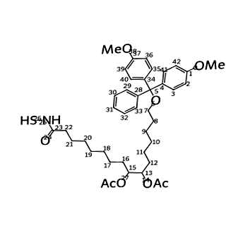 COc1ccc(C(OCCCCCCC(OC(C)=O)C(CCCCCCCC(=O)NS)OC(C)=O)(c2ccccc2)c2ccc(OC)cc2)cc1